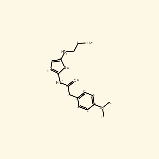 CC(=O)OCCNc1cnc(NC(=O)Cc2ccc(N(C)C)cc2)s1